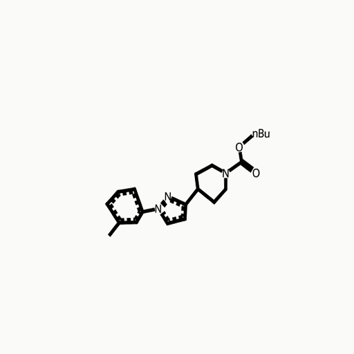 CCCCOC(=O)N1CCC(c2ccn(-c3cccc(C)c3)n2)CC1